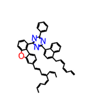 C=C/C=C\C=C/Cc1ccc(-c2nc(-c3ccccc3)nc(-c3cccc4oc5cc(/C=C/C=C(\C=C/C)/C=C\C=C/C)ccc5c34)n2)c2ccccc12